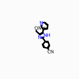 COCc1nc(-c2ccc(C#N)cc2)[nH]c1-c1cccnc1